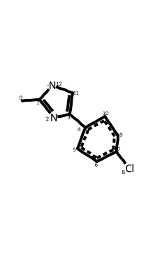 CC1=NC(c2ccc(Cl)cc2)=C[N]1